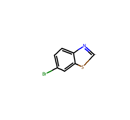 Brc1ccc2n[c]sc2c1